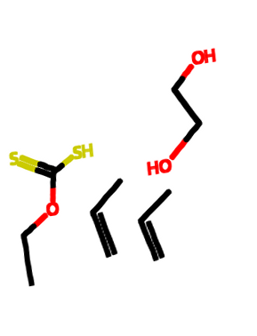 C=CC.C=CC.CCOC(=S)S.OCCO